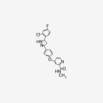 CNC(=O)c1cc(Oc2ccc(C3=NNC(c4ccc(F)cc4Cl)C3)cc2)ccn1